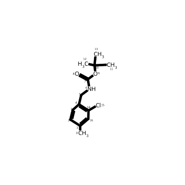 Cc1[c]cc(CNC(=O)OC(C)(C)C)c(Cl)c1